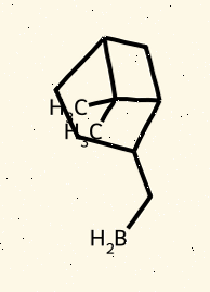 BCC1CCC2CC1C2(C)C